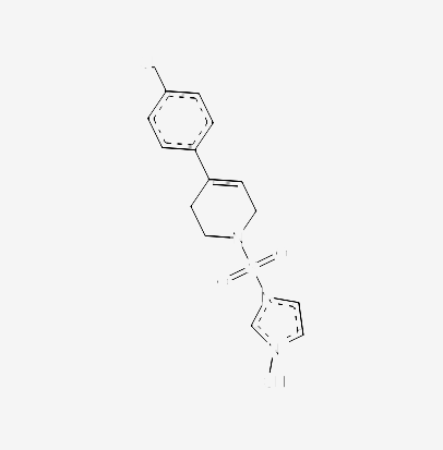 C[n+]1ccn(S(=O)(=O)N2CC=C(c3ccc(Cl)cc3)CC2)c1